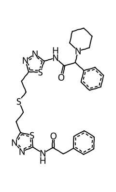 O=C(Cc1ccccc1)Nc1nnc(CCSCCc2nnc(NC(=O)C(c3ccccc3)N3CCCCC3)s2)s1